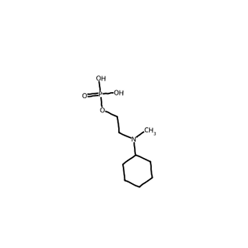 CN(CCOP(=O)(O)O)C1CCCCC1